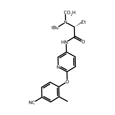 CC[C@H](C(=O)Nc1ccc(Oc2ccc(C#N)cc2C)nc1)N(C(=O)O)C(C)(C)C